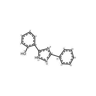 Oc1ccccc1-c1nc(-c2ccccc2)n[nH]1